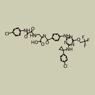 O=C(NC/C(=N/C(=O)c1ccc(Nc2nc(NC3(c4ccc(Cl)cc4)CC3)nc(OCC(F)(F)F)n2)cc1)C(=O)O)C(=O)Nc1ccc(Cl)cc1